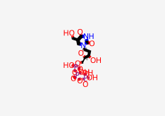 O=c1[nH]c(=O)n([C@H]2CC(O)[C@@H](COP(=O)(O)OP(=O)(O)OP(=O)(O)O)O2)cc1CO